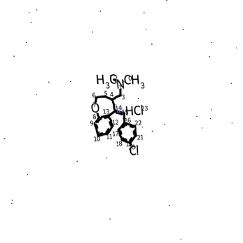 CN(C)CC1CCOc2ccccc2/C1=C\c1ccc(Cl)cc1.Cl